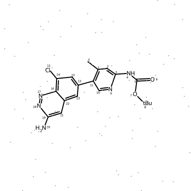 Cc1cc(NC(=O)OC(C)(C)C)ncc1-c1cc(Cl)c2nnc(N)cc2c1